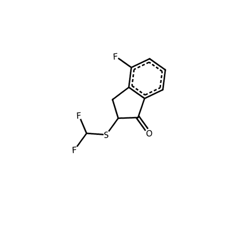 O=C1c2cccc(F)c2CC1SC(F)F